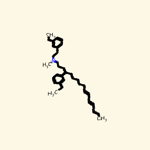 CCCCCCCCCCCCC(CCCN(C)CCc1cccc(CC)c1)c1cccc(CC)c1